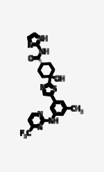 Cc1cc(Nc2nccc(C(F)(F)F)n2)cc(-c2cnc([C@]3(O)CC[C@H](C(=O)Nc4ncc[nH]4)CC3)s2)c1